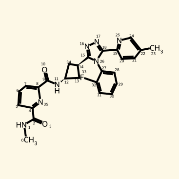 CNC(=O)c1cccc(C(=O)N[C@H]2C[C@H](c3nnc(-c4ccc(C)cn4)n3-c3ccccc3F)C2)n1